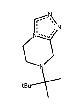 CC(C)(C)C(C)(C)N1CCn2cnnc2C1